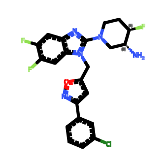 N[C@@H]1CN(c2nc3cc(F)c(F)cc3n2Cc2cc(-c3cccc(Cl)c3)no2)CC[C@H]1F